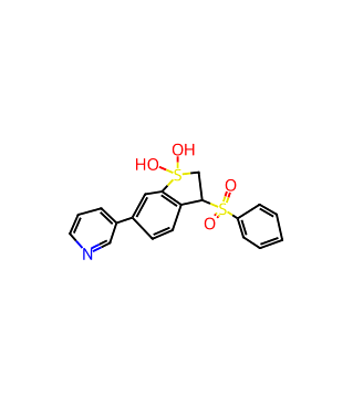 O=S(=O)(c1ccccc1)C1CS(O)(O)c2cc(-c3cccnc3)ccc21